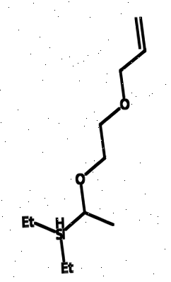 C=CCOCCOC(C)[SiH](CC)CC